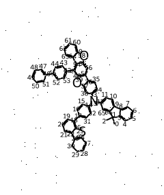 CC1(C)c2ccccc2-c2ccc(N(c3ccc(-c4cccc5c6c(sc45)C=CCC6)cc3)c3ccc4c(c3)oc3c(-c5ccc(-c6ccccc6)cc5)c5c(cc34)oc3ccccc35)cc21